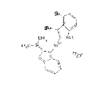 C[Si](C)=C1C=c2ccccc2=[C]1[Ti+2][c]1[nH]c2cccc(C(C)(C)C)c2c1C(C)(C)C.[Cl-].[Cl-]